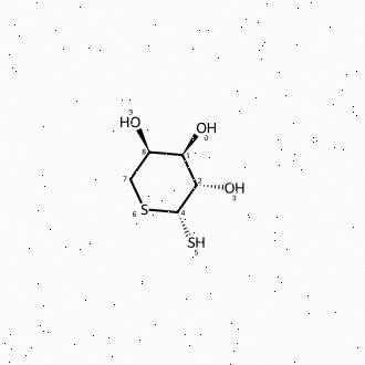 O[C@H]1[C@H](O)[C@H](S)SC[C@H]1O